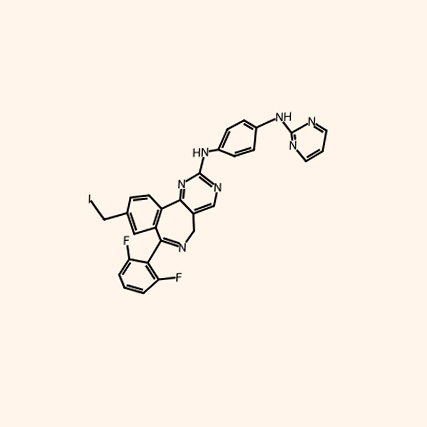 Fc1cccc(F)c1C1=NCc2cnc(Nc3ccc(Nc4ncccn4)cc3)nc2-c2ccc(CI)cc21